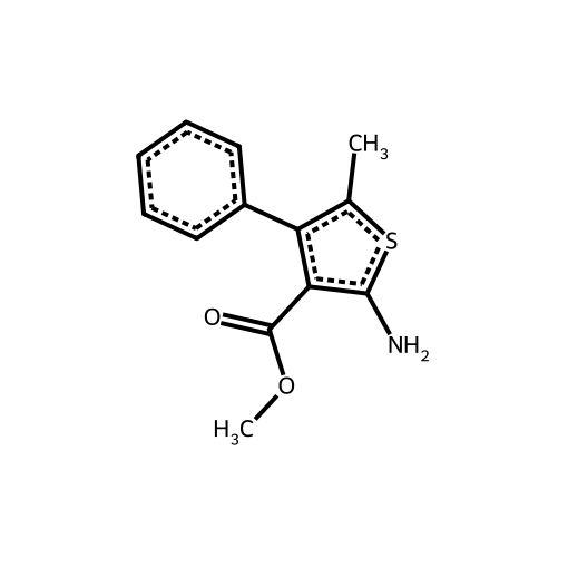 COC(=O)c1c(N)sc(C)c1-c1ccccc1